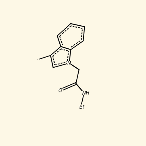 [CH2]c1cn(CC(=O)NCC)c2ccccc12